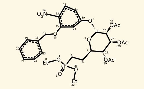 CCOP(=O)(CC[C@H]1O[C@H](Oc2ccc([N+](=O)[O-])c(OCc3ccccc3)c2)[C@@H](OC(C)=O)[C@@H](OC(C)=O)[C@@H]1OC(C)=O)OCC